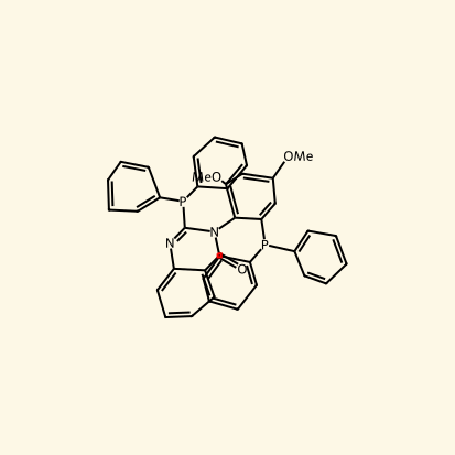 COc1cc(OC)c(-n2c(P(c3ccccc3)c3ccccc3)nc3ccccc3c2=O)c(P(c2ccccc2)c2ccccc2)c1